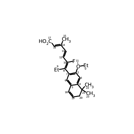 CCOc1cc2c(cc1C(CC)=C(F)C=CC(C)=CC(=O)O)C=CCC2(C)C